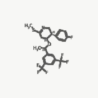 CSC1=NC[C@H](c2ccc(F)cc2)[C@@H](O[C@H](C)c2cc(C(F)(F)F)cc(C(F)(F)F)c2)C1